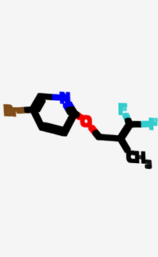 CC(COc1ccc(Br)cn1)C(F)F